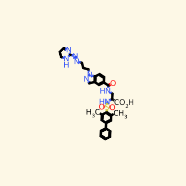 Cc1cc(-c2ccccc2)cc(C)c1S(=O)(=O)NC(CNC(=O)c1ccc2c(cnn2CCCN=NC2N=CCCN2)c1)C(=O)O